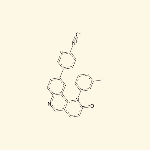 [C-]#[N+]c1ccc(-c2ccc3ncc4ccc(=O)n(-c5cccc(C)c5)c4c3c2)cn1